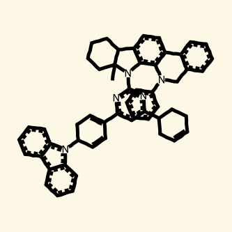 CC12CCCCC1c1ccc3c(c1N2c1nc(C2=CCC(n4c5ccccc5c5ccccc54)C=C2)cc(C2CC=CCC2)n1)N(c1ccccc1)Cc1ccccc1-3